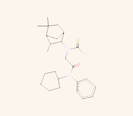 CNC(=S)N(CC(=O)N(c1ccccc1)C1CCCCC1)C1C2CC(C1C)C(C)(C)C2